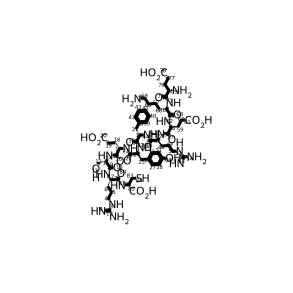 N=C(N)NCCC[C@H](NC(=O)[C@H](CO)NC(=O)[C@H](CCC(=O)O)NC(=O)[C@H](Cc1ccc(O)cc1)NC(=O)[C@H](Cc1ccccc1)NC(=O)[C@H](CCCNC(=N)N)NC(=O)[C@H](CCC(=O)O)NC(=O)[C@H](CCCCN)NC(=O)[C@@H](N)CCC(=O)O)C(=O)N[C@@H](CS)C(=O)O